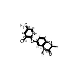 CC1Oc2ccc(Oc3ncc(C(F)(F)F)cc3Cl)cc2N(C)C1=O